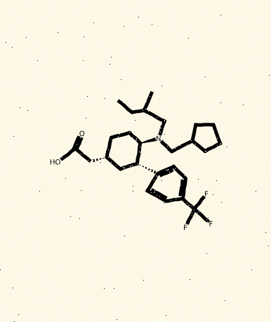 CCC(C)CN(CC1CCCC1)[C@@H]1CC[C@@H](CC(=O)O)C[C@H]1c1ccc(C(F)(F)F)cc1